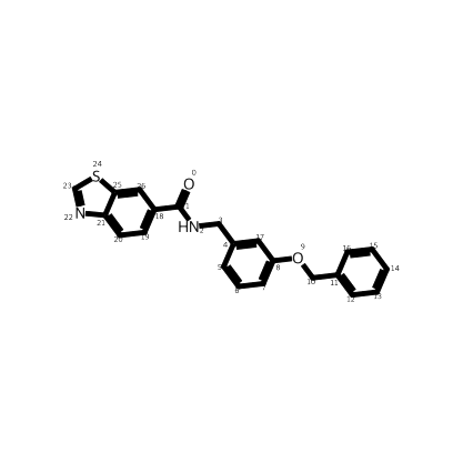 O=C(NCc1cccc(OCc2ccccc2)c1)c1ccc2ncsc2c1